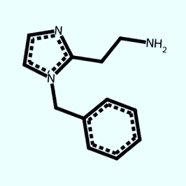 NCCc1nccn1Cc1ccccc1